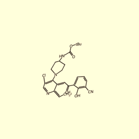 C=C(/C=c1/c(N2CCC(NC(=O)OC(C)(C)C)CC2)c(Cl)cn/c1=C/C)c1cccc(C#N)c1O